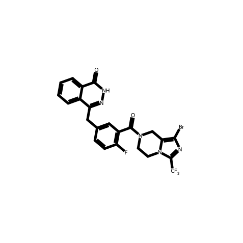 O=C(c1cc(Cc2n[nH]c(=O)c3ccccc23)ccc1F)N1CCn2c(C(F)(F)F)nc(Br)c2C1